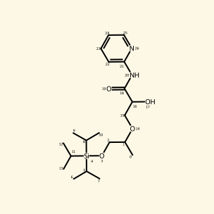 CC(CO[Si](C(C)C)(C(C)C)C(C)C)OCC(O)C(=O)Nc1ccccn1